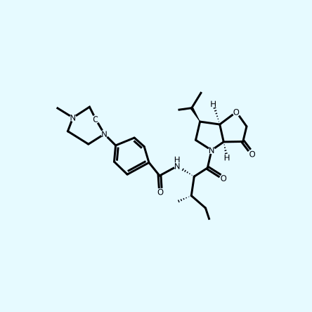 CC[C@H](C)[C@H](NC(=O)c1ccc(N2CCN(C)CC2)cc1)C(=O)N1C[C@@H](C(C)C)[C@H]2OCC(=O)[C@H]21